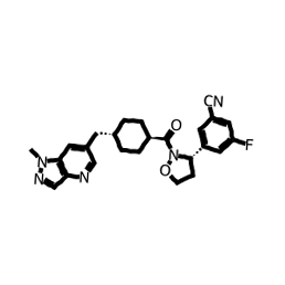 Cn1ncc2ncc(C[C@H]3CC[C@H](C(=O)N4OCC[C@H]4c4cc(F)cc(C#N)c4)CC3)cc21